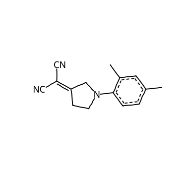 Cc1ccc(N2CCC(=C(C#N)C#N)C2)c(C)c1